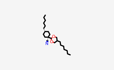 CCCCCCCC1COC([C@]2(C#N)CC[C@@H](CCCCCC)CC2)OC1